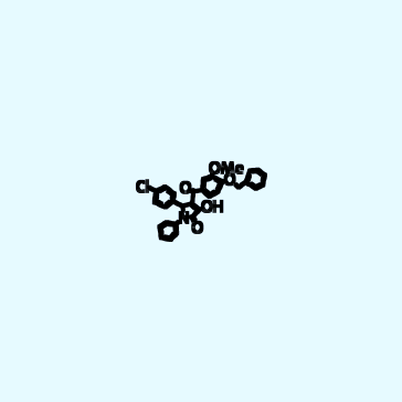 COc1cc(C(=O)C2=C(O)C(=O)N(c3ccccc3)C2c2ccc(Cl)cc2)ccc1OCc1ccccc1